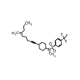 CCCN(C)CCCC#CC1CCC(N(C)S(=O)(=O)c2ccc(C(F)(F)F)cc2)CC1